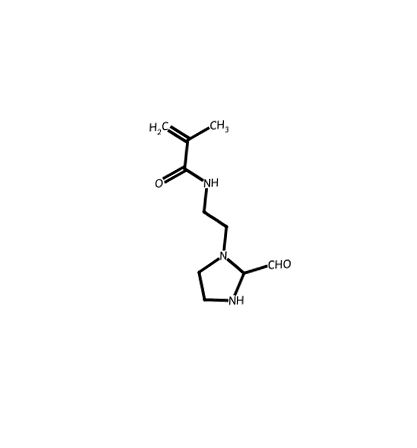 C=C(C)C(=O)NCCN1CCNC1C=O